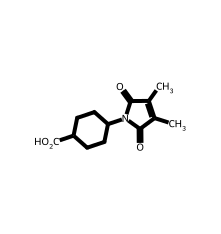 CC1=C(C)C(=O)N(C2CCC(C(=O)O)CC2)C1=O